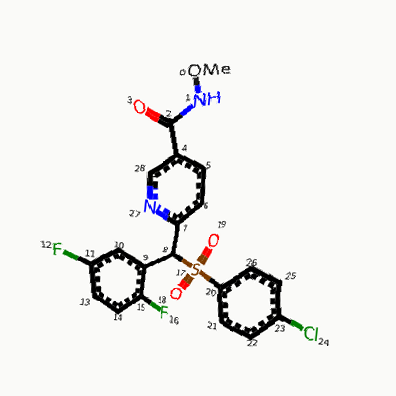 CONC(=O)c1ccc(C(c2cc(F)ccc2F)S(=O)(=O)c2ccc(Cl)cc2)nc1